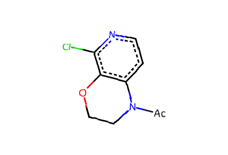 CC(=O)N1CCOc2c1ccnc2Cl